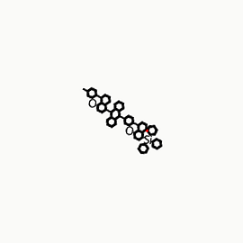 Cc1ccc2c(c1)Oc1ccc(-c3c4ccccc4c(-c4ccc5c(c4)Oc4ccc([Si](c6ccccc6)(c6ccccc6)c6ccccc6)c6cccc-5c46)c4ccccc34)c3cccc-2c13